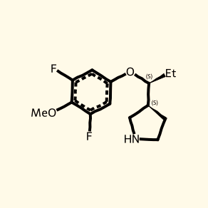 CC[C@H](Oc1cc(F)c(OC)c(F)c1)[C@H]1CCNC1